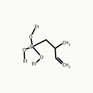 C=CC(C)C[Si](OCC)(OCC)OCC